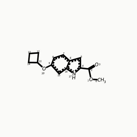 COC(=O)c1cc2ccc(OC3CCC3)cc2[nH]1